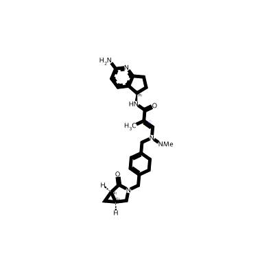 CNN(/C=C(\C)C(=O)N[C@@H]1CCc2nc(N)ccc21)CC1=CC=C(CN2C[C@H]3C[C@H]3C2=O)CC1